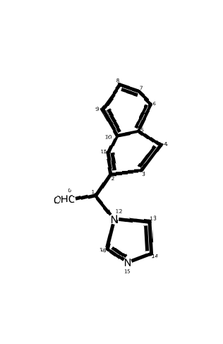 O=CC(c1ccc2ccccc2c1)n1ccnc1